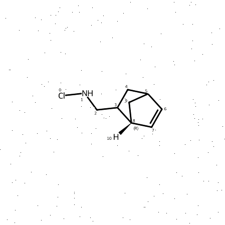 ClNCC1CC2C=C[C@H]1C2